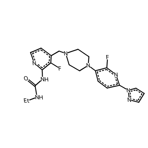 CCNC(=O)Nc1nccc(CN2CCN(c3ccc(-n4cccn4)nc3F)CC2)c1F